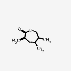 C=C1CC(C)C(C)COC1=O